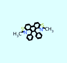 Cc1nc2c(ccc3c4ccc5sc(C)nc5c4c(-c4ccccc4)c(-c4ccccc4)c32)s1